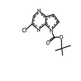 CC(C)(C)OC(=O)n1ccc2ncc(Cl)nc21